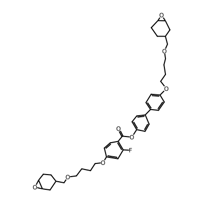 O=C(Oc1ccc(-c2ccc(OCCCCOCC3CCC4OC4C3)cc2)cc1)c1ccc(OCCCCOCC2CCC3OC3C2)cc1F